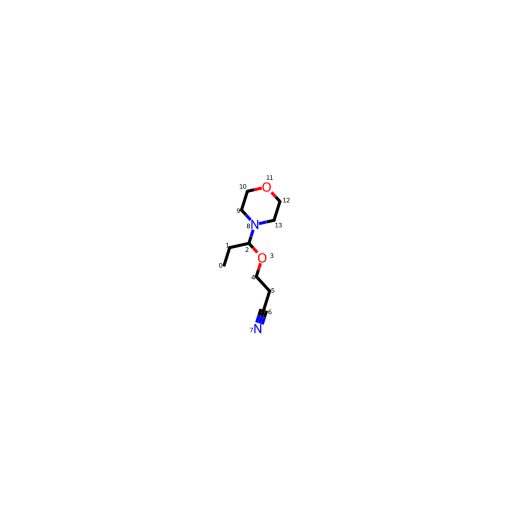 CCC(OCCC#N)N1CCOCC1